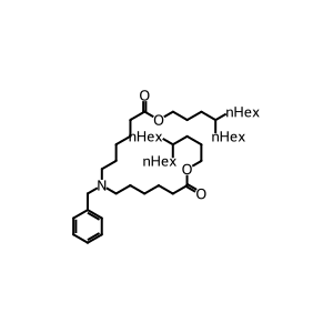 CCCCCCC(CCCCCC)CCCOC(=O)CCCCCN(CCCCCC(=O)OCCCC(CCCCCC)CCCCCC)Cc1ccccc1